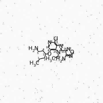 CCCC(CCN)Oc1cnc(Cl)c2nc(-c3nonc3N)n(CC)c12